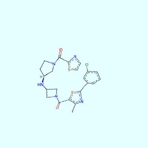 Cc1nc(-c2cccc(Cl)c2)sc1C(=O)N1CC(N[C@H]2CCN(C(=O)c3nccs3)C2)C1